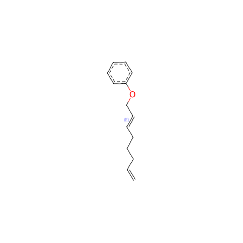 C=CCCC/C=C/COc1ccccc1